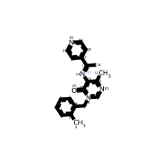 Cc1ccccc1Cn1cnc(C)c(/N=C(\I)c2ccncc2)c1=O